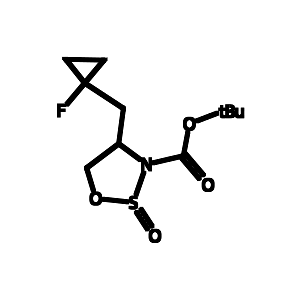 CC(C)(C)OC(=O)N1C(CC2(F)CC2)COS1=O